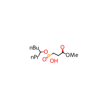 CCCCC(CCC)OP(=O)(O)CCC(=O)OC